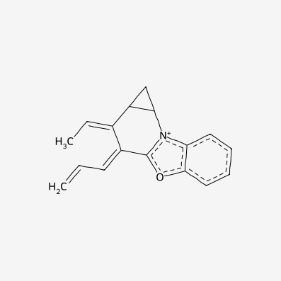 C=C/C=C1\C(=C/C)C2CC2[n+]2c1oc1ccccc12